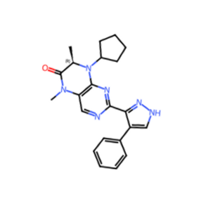 C[C@@H]1C(=O)N(C)c2cnc(-c3n[nH]cc3-c3ccccc3)nc2N1C1CCCC1